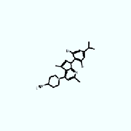 [C-]#[N+]C1CCN(c2cc(C)nc3c2C(C)=CC3c2c(Br)cc(C(C)C)cc2Br)CC1